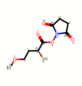 CCOCC[C@H](S)C(=O)ON1C(=O)CCC1=O